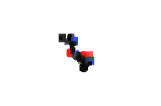 Cn1cc(CCC(=O)N2CCC3(CC2)C[C@@H]([C@H]2c4ccccc4-c4cncn42)[C@H]3O)cn1